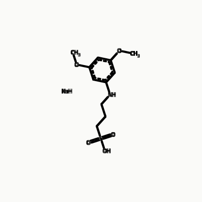 COc1cc(NCCCS(=O)(=O)O)cc(OC)c1.[NaH]